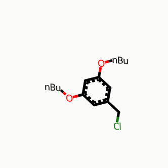 CCCCOc1cc(CCl)cc(OCCCC)c1